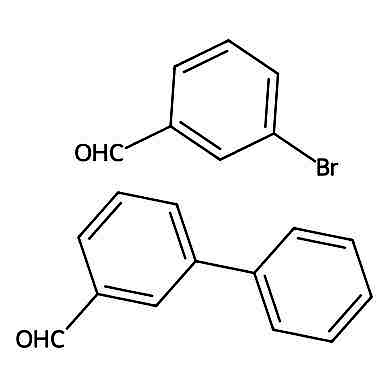 O=Cc1cccc(-c2ccccc2)c1.O=Cc1cccc(Br)c1